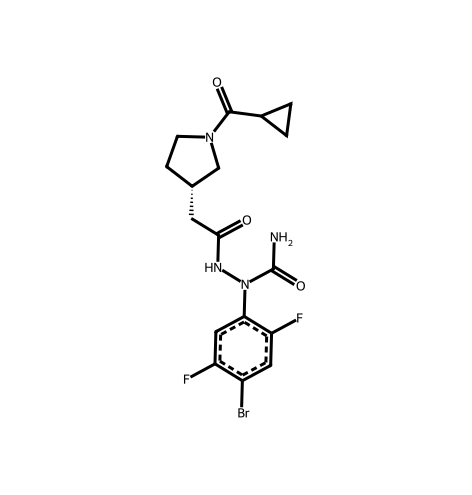 NC(=O)N(NC(=O)C[C@@H]1CCN(C(=O)C2CC2)C1)c1cc(F)c(Br)cc1F